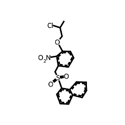 CC(Cl)COc1cccc(CS(=O)(=O)c2cccc3ccccc23)c1[N+](=O)[O-]